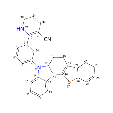 N#CC1=C(c2cccc(N3c4ccccc4C4C5=C(CCC43)C3CCC=CC3S5)c2)NCC=C1